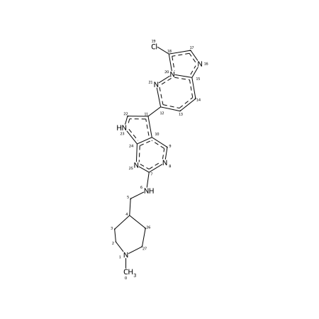 CN1CCC(CNc2ncc3c(-c4ccc5ncc(Cl)n5n4)c[nH]c3n2)CC1